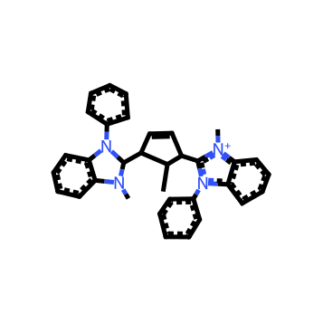 CC1C(c2n(-c3ccccc3)c3ccccc3[n+]2C)C=CC1C1N(C)c2ccccc2N1c1ccccc1